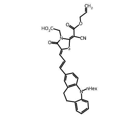 C=CCOC(=O)/C(C#N)=c1/s/c(=C\C=C\c2ccc3c(c2)CCc2ccccc2N3CCCCCC)c(=O)n1CC(=O)O